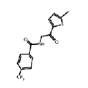 Cc1ccc(C(=O)CNC(=O)c2ccc(C(F)(F)F)cc2)s1